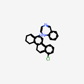 C1=CNc2ccccc2C=N1.Clc1cccc2c1=CCc1c3c(ccc1=2)=CCCC3